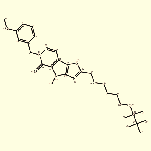 COc1cccc(Cn2ncc3c4sc(COCCCCO[Si](C)(C)C(C)(C)C)nc4n(C)c3c2=O)c1